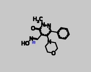 Cn1nc(-c2ccccc2)c(N2CCOCC2)c(/C=N/O)c1=O